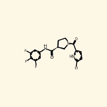 O=C(Nc1cc(F)c(F)c(F)c1)[C@H]1CCN(C(=O)c2ccc(Cl)[nH]2)C1